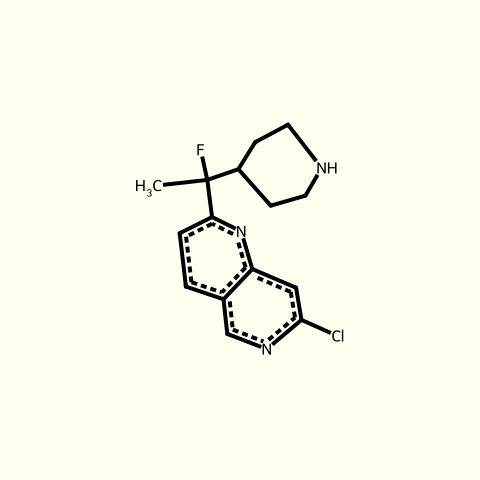 CC(F)(c1ccc2cnc(Cl)cc2n1)C1CCNCC1